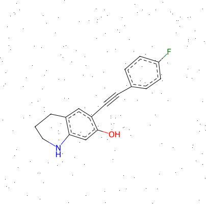 Oc1cc2c(cc1C#Cc1ccc(F)cc1)CCCN2